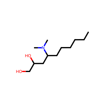 CCCCCCC(CC(O)CO)N(C)C